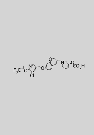 C[C@H](Oc1ncc(COc2ccc3c(c2)OCC(CN2CCC=C(OC(=O)O)C2)=C3)cc1Cl)C(F)(F)F